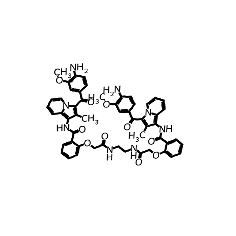 COc1cc(C(=O)c2c(C)c(NC(=O)c3ccccc3OCC(=O)NCCNC(=O)COc3ccccc3C(=O)Nc3c(C)c(C(=O)c4ccc(N)c(OC)c4)n4ccccc34)c3ccccn23)ccc1N